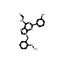 COc1ccccc1Cn1cnc2c(N[C]=O)nc(-c3cccc(O)c3)nc21